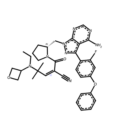 CCN(C1COC1)C(C)(C)/C=C(/C#N)C(=O)N1CCC[C@@H]1Cn1nc(-c2ccc(Oc3ccccc3)cc2F)c2c(N)ncnc21